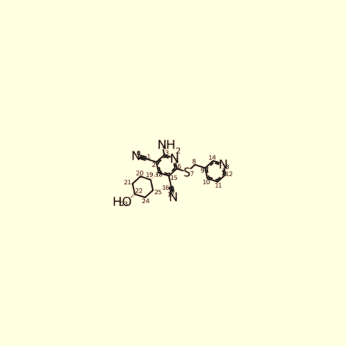 N#Cc1c(N)nc(SCc2cccnc2)c(C#N)c1[C@H]1CC[C@@H](O)CC1